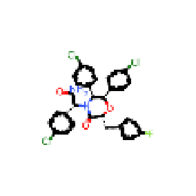 NC(=O)[C@@H](c1ccc(Cl)cc1)N1C(=O)[C@@H](Cc2ccc(F)cc2)O[C@H](c2ccc(Cl)cc2)[C@@H]1c1ccc(Cl)cc1